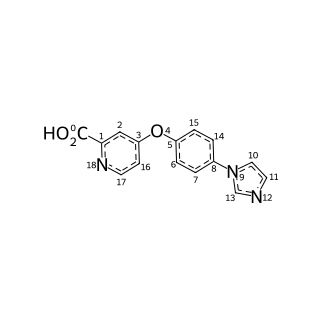 O=C(O)c1cc(Oc2ccc(-n3ccnc3)cc2)ccn1